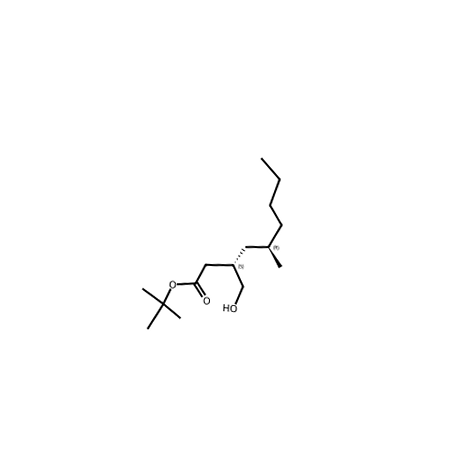 CCCC[C@@H](C)C[C@H](CO)CC(=O)OC(C)(C)C